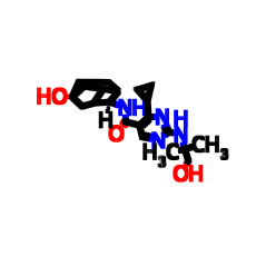 CC(C)(CO)Nc1ncc(C(=O)N[C@H]2C3CC4CC2C[C@@](O)(C4)C3)c(C2CC2)n1